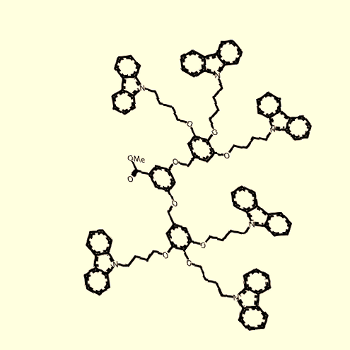 COC(=O)c1cc(OCc2cc(OCCCCn3c4ccccc4c4ccccc43)c(OCCCCn3c4ccccc4c4ccccc43)c(OCCCCn3c4ccccc4c4ccccc43)c2)cc(OCc2cc(OCCCCn3c4ccccc4c4ccccc43)c(OCCCCn3c4ccccc4c4ccccc43)c(OCCCCn3c4ccccc4c4ccccc43)c2)c1